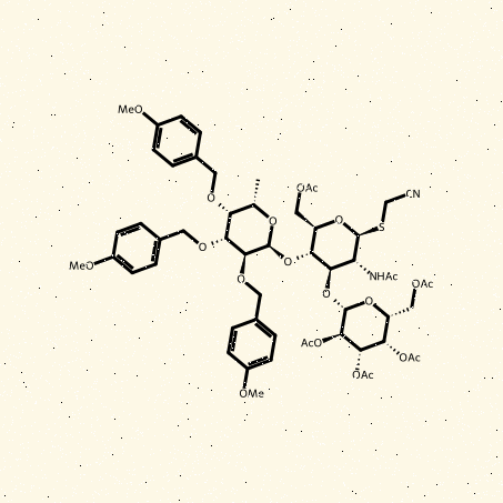 COc1ccc(CO[C@H]2[C@H](OCc3ccc(OC)cc3)[C@H](O[C@H]3[C@H](O[C@@H]4O[C@H](COC(C)=O)[C@H](OC(C)=O)[C@H](OC(C)=O)[C@H]4OC(C)=O)[C@@H](NC(C)=O)[C@H](SCC#N)O[C@@H]3COC(C)=O)O[C@@H](C)[C@H]2OCc2ccc(OC)cc2)cc1